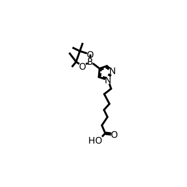 CC1(C)OB(c2cnn(CCCCCCC(=O)O)c2)OC1(C)C